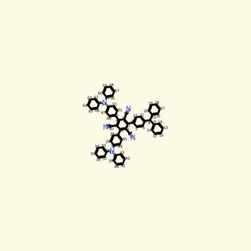 N#Cc1c(-c2ccc(C(c3ccccc3)c3ccccc3)cc2)c(C#N)c(-c2ccc(N(c3ccccc3)c3ccccc3)cc2)c(C#N)c1-c1ccc(N(c2ccccc2)c2ccccc2)cc1